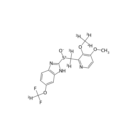 [2H]C([2H])([2H])Oc1c(OC)ccnc1C([2H])([2H])[S+]([O-])c1nc2ccc(OC([2H])(F)F)cc2[nH]1